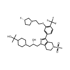 CC(C)(O)C1CCN(C[C@H](O)Cn2nc(-c3ccc(C(F)(F)F)c(SCCN4CC[C@H](F)C4)c3)c3c2CCN(S(C)(=O)=O)C3)CC1